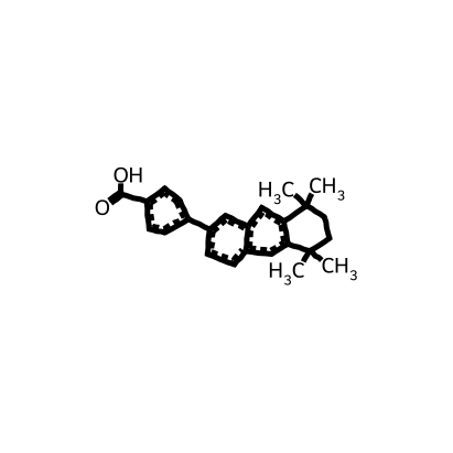 CC1(C)CCC(C)(C)c2cc3cc(-c4ccc(C(=O)O)cc4)ccc3cc21